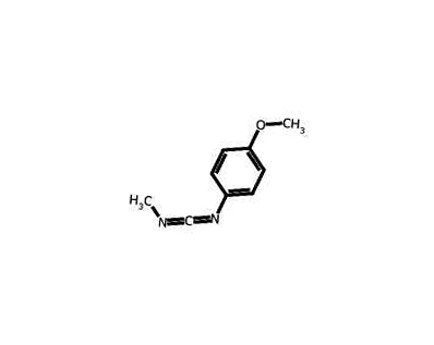 CN=C=Nc1ccc(OC)cc1